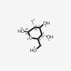 C[C@@H]1C(O)[C@H](O)C(CO)O[C@H]1O